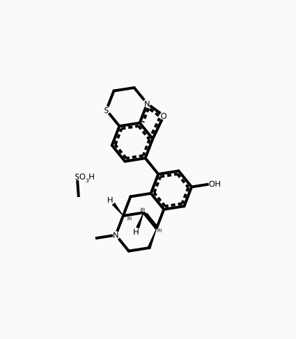 CN1CC[C@]23CCCC[C@H]2[C@H]1Cc1c(-c2ccc4c5c2on5CCS4)cc(O)cc13.CS(=O)(=O)O